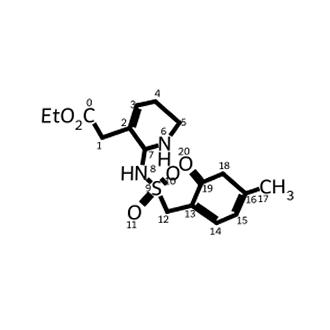 CCOC(=O)CC1=CCCNC1NS(=O)(=O)CC1=CC=C(C)CC1=O